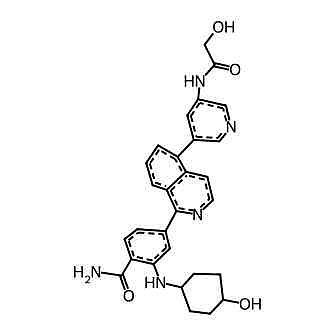 NC(=O)c1ccc(-c2nccc3c(-c4cncc(NC(=O)CO)c4)cccc23)cc1NC1CCC(O)CC1